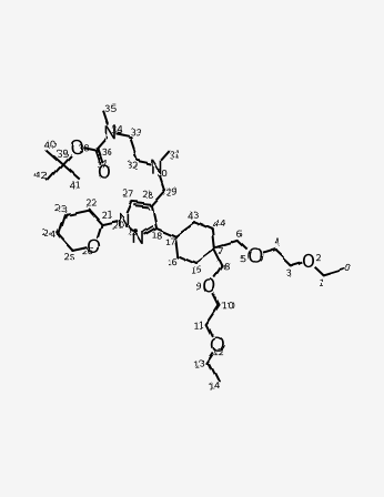 CCOCCOCC1(COCCOCC)CCC(c2nn(C3CCCCO3)cc2CN(C)CCN(C)C(=O)OC(C)(C)C)CC1